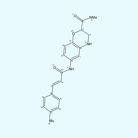 CNC(=O)C1CNc2cc(NC(=O)/C=C/c3ccc(C(C)(C)C)cc3)ccc2O1